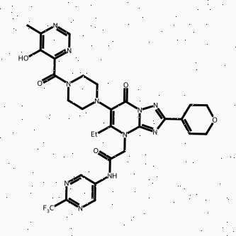 CCc1c(N2CCN(C(=O)c3ncnc(C)c3O)CC2)c(=O)n2nc(C3=CCOCC3)nc2n1CC(=O)Nc1cnc(C(F)(F)F)nc1